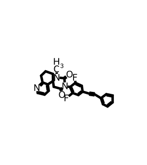 CN1C(=O)N(c2c(F)cc(C#Cc3ccccc3)cc2F)C(=O)CC12CCCc1ncccc12